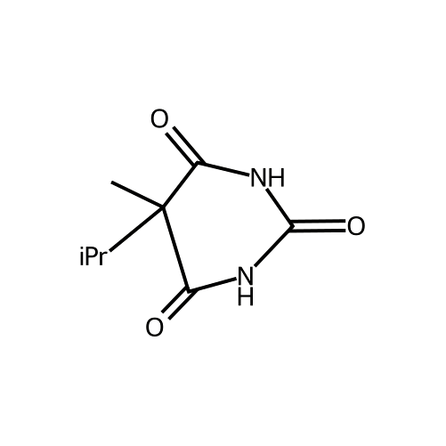 CC(C)C1(C)C(=O)NC(=O)NC1=O